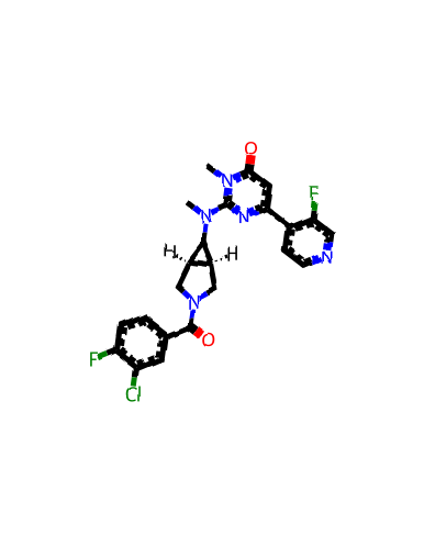 CN(c1nc(-c2ccncc2F)cc(=O)n1C)C1[C@H]2CN(C(=O)c3ccc(F)c(Cl)c3)C[C@@H]12